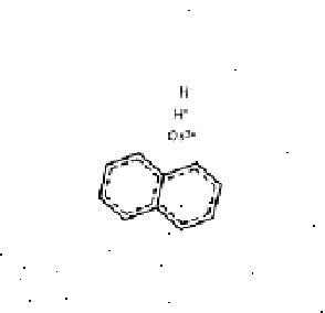 [H-].[H-].[Os+2].c1ccc2ccccc2c1